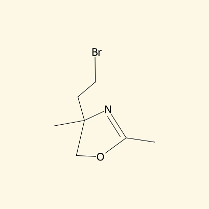 CC1=NC(C)(CCBr)CO1